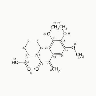 C=C(C(=O)N1CCCC[C@H]1C(=O)O)c1cc(OC)c(OC)c(OC)c1